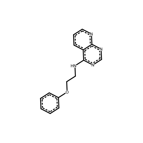 c1ccc(OCCNc2ncnc3ncccc23)cc1